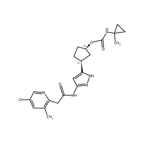 Cc1cc(Cl)cnc1CC(=O)Nc1cc([C@H]2CC[C@@H](OC(=O)NC3(C)CC3)C2)[nH]n1